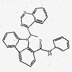 CN(c1ncnc2ccccc12)n1c2ccccc2c2cccc(C(=O)Nc3ccccc3)c21